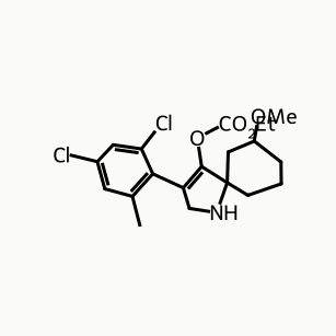 CCOC(=O)OC1=C(c2c(C)cc(Cl)cc2Cl)CNC12CCCC(OC)C2